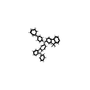 CC1(C)c2ccccc2-c2ccc(N(C3=CC4c5ccccc5N(c5ccccc5)C4C=C3)c3ccc(-c4ccccc4)cc3)cc21